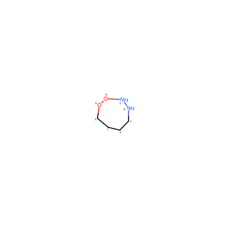 C1CCOONNC1